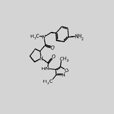 Cc1noc(C)c1NC(=O)N1CCCC1C(=O)N(C)Cc1ccc(N)cc1